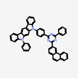 c1ccc(-c2nc(-c3ccc(-n4c5ccccc5c5cc6c7ccccc7n(-c7ccccc7)c6cc54)cc3)nc(-c3ccc4ccc5ccccc5c4c3)n2)cc1